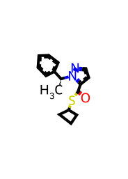 C[C@H](c1ccccc1)n1nccc1C(=O)SC1CCC1